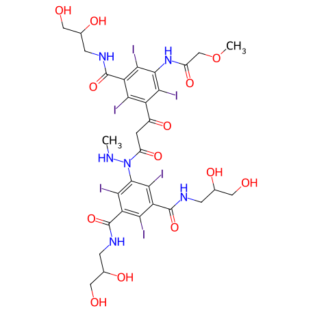 CNN(C(=O)CC(=O)c1c(I)c(NC(=O)COC)c(I)c(C(=O)NCC(O)CO)c1I)c1c(I)c(C(=O)NCC(O)CO)c(I)c(C(=O)NCC(O)CO)c1I